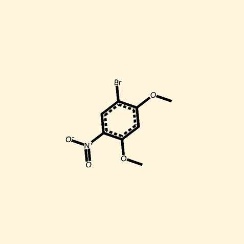 COc1cc(OC)c([N+](=O)[O-])cc1Br